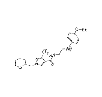 CCOc1ccc(NCCNC(=O)c2cn(CC3CCCCO3)nc2C(F)(F)F)cc1